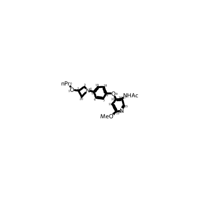 CCCOC1CN(c2ccc(Oc3cc(OC)ncc3NC(C)=O)cc2)C1